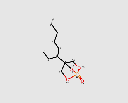 CCCCCC(CC)C12COP(=O)(OC1)OC2